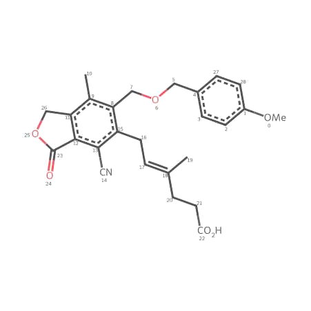 COc1ccc(COCc2c(C)c3c(c(C#N)c2C/C=C(\C)CCC(=O)O)C(=O)OC3)cc1